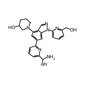 CCCC(N)c1cccc(-c2cc(N3CCCC(O)C3)c3cnn(-c4cccc(CO)n4)c3c2)n1